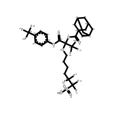 O=C(OC(OCCCCC(F)(F)C(F)(F)S(=O)(=O)O)(C(=O)Oc1ccc(C(F)(F)F)cc1)C(F)(F)F)C12CC3CC(CC(C3)C1)C2